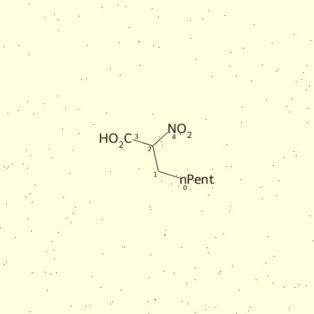 CCCCCCC(C(=O)O)[N+](=O)[O-]